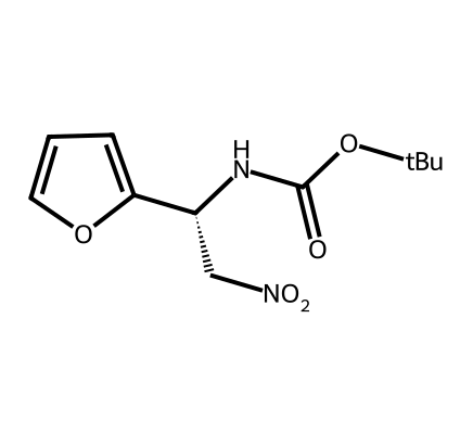 CC(C)(C)OC(=O)N[C@H](C[N+](=O)[O-])c1ccco1